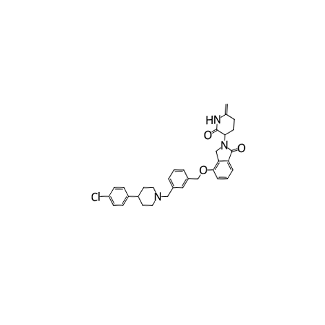 C=C1CCC(N2Cc3c(OCc4cccc(CN5CCC(c6ccc(Cl)cc6)CC5)c4)cccc3C2=O)C(=O)N1